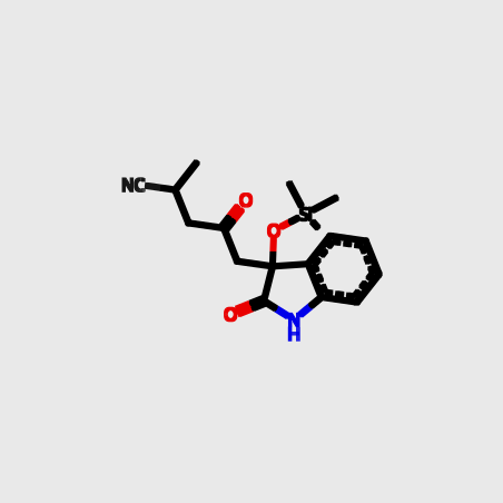 CC(C#N)CC(=O)CC1(O[Si](C)(C)C)C(=O)Nc2ccccc21